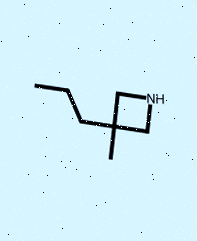 CCCC1(C)CNC1